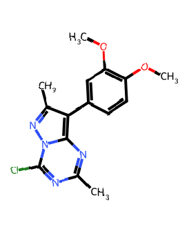 COc1ccc(-c2c(C)nn3c(Cl)nc(C)nc23)cc1OC